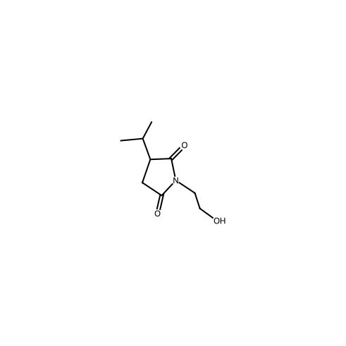 CC(C)C1CC(=O)N(CCO)C1=O